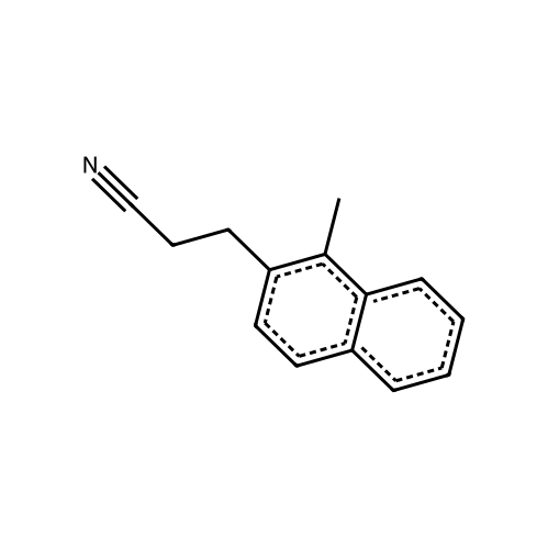 Cc1c(CCC#N)ccc2ccccc12